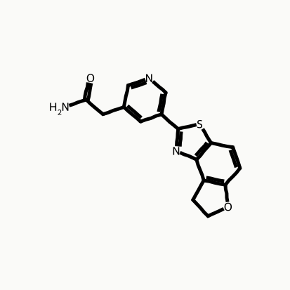 NC(=O)Cc1cncc(-c2nc3c4c(ccc3s2)OCC4)c1